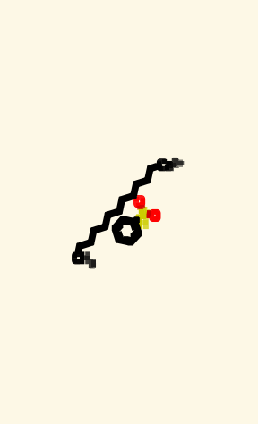 CCCCCCCCCCC[CH2][Ca+2].O=[SH](=O)c1ccccc1